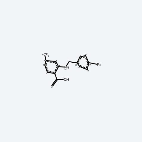 C=C(O)c1ccc(C(F)(F)F)cc1NCc1ccc(F)cc1